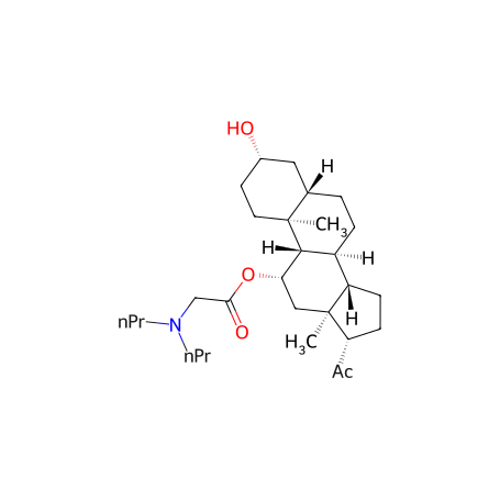 CCCN(CCC)CC(=O)O[C@H]1C[C@]2(C)[C@@H](C(C)=O)CC[C@H]2[C@@H]2CC[C@H]3C[C@@H](O)CC[C@]3(C)[C@H]21